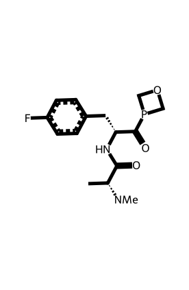 CN[C@H](C)C(=O)N[C@H](Cc1ccc(F)cc1)C(=O)P1COC1